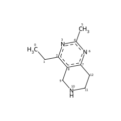 CCc1nc(C)nc2c1CNCC2